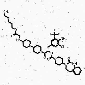 CCCCCCOC(=O)CNC1CCN(C2CCN(C(=O)[C@@H](Cc3cc(Cl)c(N)c(C(F)(F)F)c3)OC(=O)N3CCC(N4CCc5ccccc5NC4=O)CC3)CC2)CC1